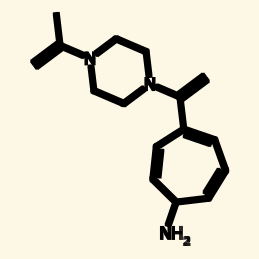 C=C(C)N1CCN(C(=C)C2=CC=CC(N)C=C2)CC1